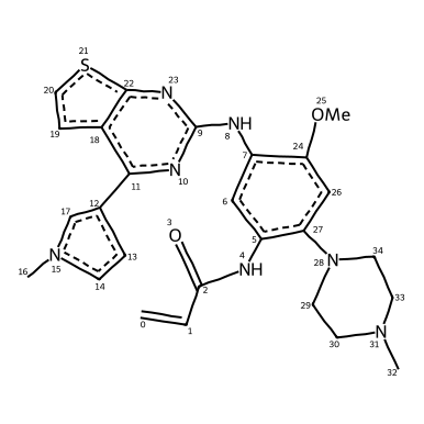 C=CC(=O)Nc1cc(Nc2nc(-c3ccn(C)c3)c3ccsc3n2)c(OC)cc1N1CCN(C)CC1